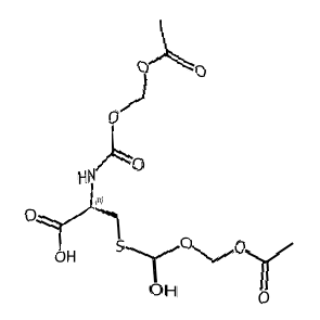 CC(=O)OCOC(=O)N[C@@H](CSC(O)OCOC(C)=O)C(=O)O